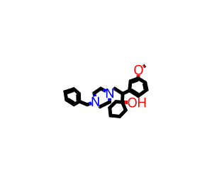 COc1cccc(C(CN2CCN(Cc3ccccc3)CC2)C2(O)CCCCC2)c1